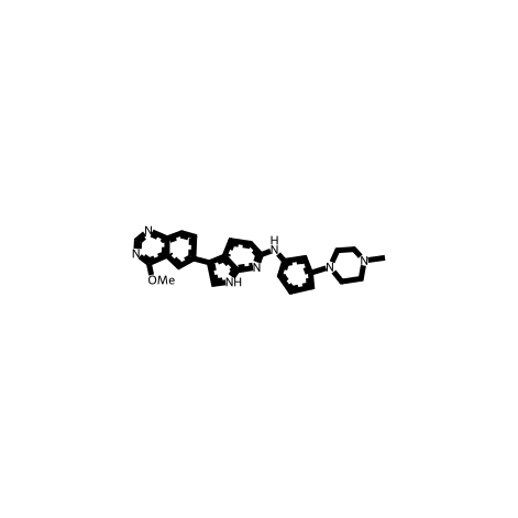 COc1ncnc2ccc(-c3c[nH]c4nc(Nc5cccc(N6CCN(C)CC6)c5)ccc34)cc12